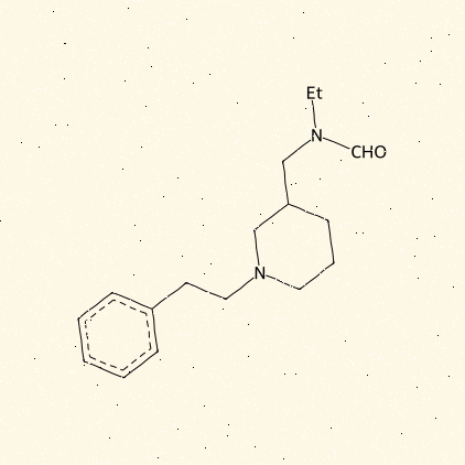 CCN(C=O)CC1CCCN(CCc2ccccc2)C1